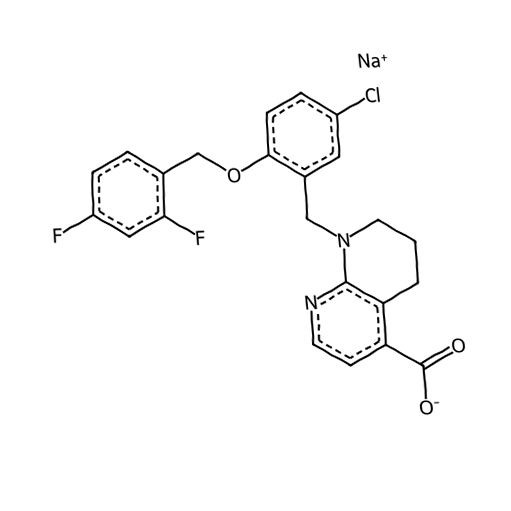 O=C([O-])c1ccnc2c1CCCN2Cc1cc(Cl)ccc1OCc1ccc(F)cc1F.[Na+]